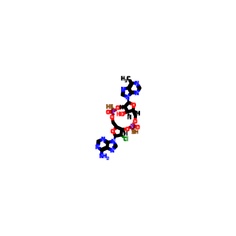 Cc1ncnc2c1ncn2[C@@H]1O[C@@H]2COP(=O)(S)O[C@@H]3C(COP(=O)(S)O[C@@H]1[C@@H]2O)O[C@@H](n1cnc2c(N)ncnc21)[C@@H]3Cl